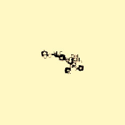 Cc1cc(OCc2c(C(C)(C)O)nc(SC3CCCC3)n2-c2cccnc2)ccc1C#CCOC1CCCCO1